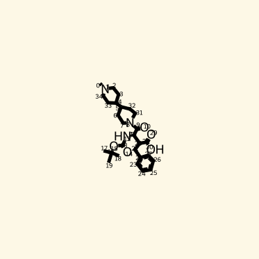 CN1CCC(C2CCN(C(=O)[C@H](NC(=O)OC(C)(C)C)C(Cc3ccccc3)C(=O)O)CC2)CC1